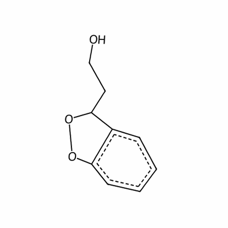 OCCC1OOc2ccccc21